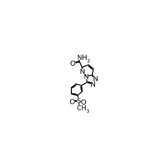 CS(=O)(=O)c1cccc(-c2nnc3ccc(C(N)=O)nn23)c1